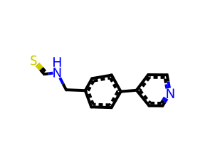 S=CNCc1ccc(-c2ccncc2)cc1